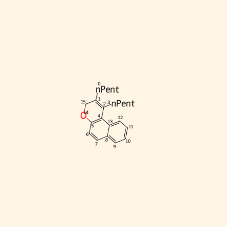 CCCCCC1=C(CCCCC)c2c(ccc3ccccc23)OC1